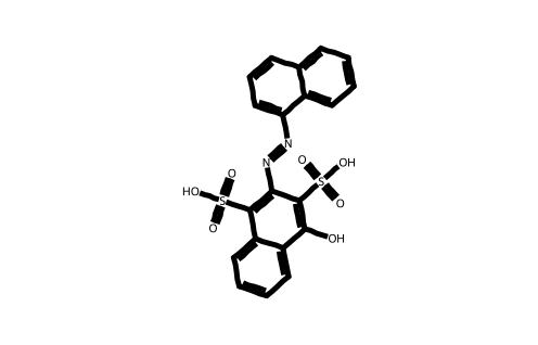 O=S(=O)(O)c1c(N=Nc2cccc3ccccc23)c(S(=O)(=O)O)c2ccccc2c1O